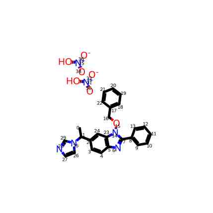 CC(c1ccc2nc(-c3ccccc3)n(OCc3ccccc3)c2c1)n1ccnc1.O=[N+]([O-])O.O=[N+]([O-])O